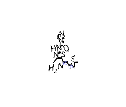 C=C(/N=C\C=C(/N)c1sc(NC(=O)n2ccnc2)nc1C)SC